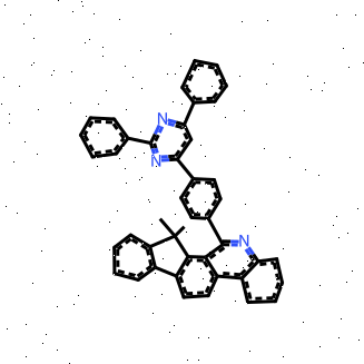 CC1(C)c2ccccc2-c2ccc3c(c(-c4ccc(-c5cc(-c6ccccc6)nc(-c6ccccc6)n5)cc4)nc4ccccc43)c21